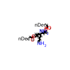 CCCCCCCCCCCC(=O)OCC(C)(C)C=C(N)C(=CC(C)(C)COC(=O)CCCCCCCCCCC)CCCCN